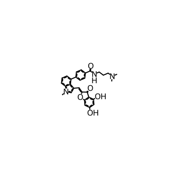 CN(C)CCCNC(=O)c1ccc(-c2cccc3c2c(/C=C2\Oc4cc(O)cc(O)c4C2=O)cn3C)cc1